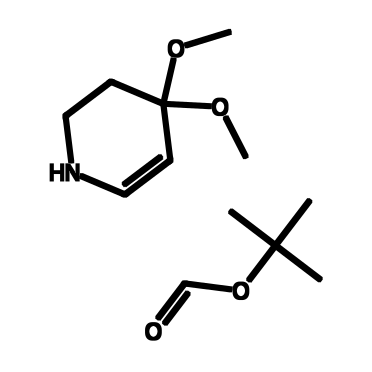 CC(C)(C)OC=O.COC1(OC)C=CNCC1